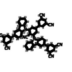 N#Cc1cc(C#N)cc(-c2cc(-n3c4ccccc4c4cc(-c5cc(C#N)cc(C#N)c5)ccc43)c(C#N)c(-n3c4ccccc4c4cc(-c5cc(C#N)cc(C#N)c5)ccc43)c2)c1